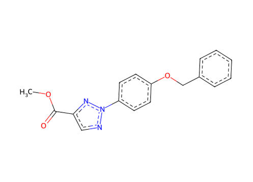 COC(=O)c1cnn(-c2ccc(OCc3ccccc3)cc2)n1